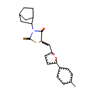 Cc1ccc(-c2ccc(C=C3SC(=S)N(C4CC5CCC4C5)C3=O)o2)cc1